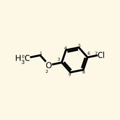 CCOc1ccc(Cl)cc1